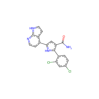 NC(=O)c1cc(-c2ccnc3[nH]ccc23)[nH]c1-c1ccc(Cl)cc1Cl